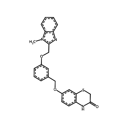 Cn1c(COc2cccc(COc3ccc4c(c3)SCC(=O)N4)c2)nc2ccccc21